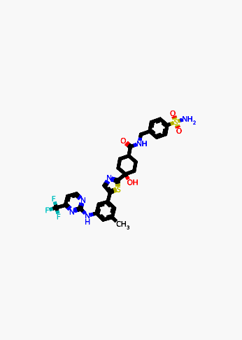 Cc1cc(Nc2nccc(C(F)(F)F)n2)cc(-c2cnc(C3(O)CCC(C(=O)NCc4ccc(S(N)(=O)=O)cc4)CC3)s2)c1